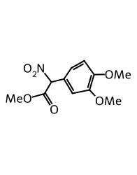 COC(=O)C(c1ccc(OC)c(OC)c1)[N+](=O)[O-]